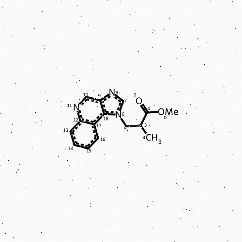 COC(=O)C(C)Cn1cnc2cnc3ccccc3c21